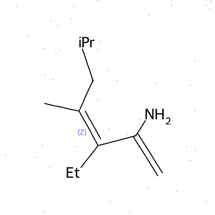 C=C(N)/C(CC)=C(/C)CC(C)C